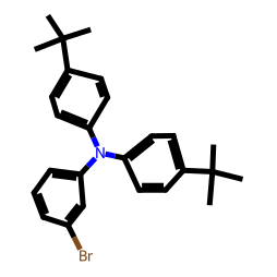 CC(C)(C)c1ccc(N(c2ccc(C(C)(C)C)cc2)c2cccc(Br)c2)cc1